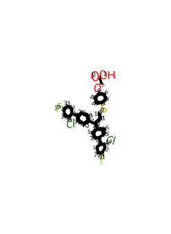 O=C(O)COc1ccc(SCC=C(c2ccc(-c3ccc(F)cc3Cl)cc2)c2ccc(-c3ccc(F)cc3Cl)cc2)cc1